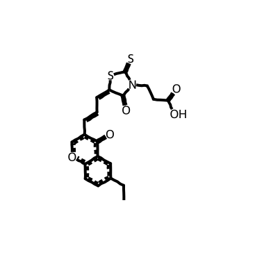 CCc1ccc2occ(C=CC=C3SC(=S)N(CCC(=O)O)C3=O)c(=O)c2c1